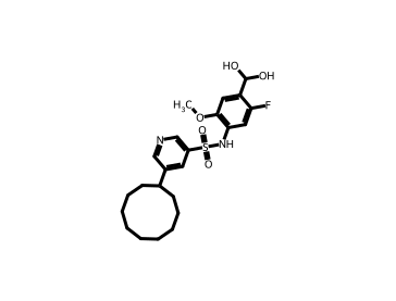 COc1cc(C(O)O)c(F)cc1NS(=O)(=O)c1cncc(C2CCCCCCCCC2)c1